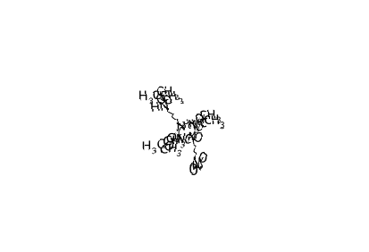 CC(C)(C)OC(=O)CN1CCN(CCCCCCNC(=O)OC(C)(C)C)CCN(CC(=O)OC(C)(C)C)CCN(C(=O)CCCCCN2C(=O)C=CC2=O)CC1